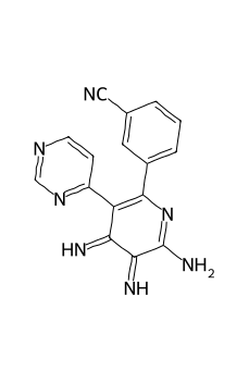 N#Cc1cccc(C2=C(c3ccncn3)C(=N)C(=N)C(N)=N2)c1